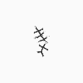 CC(C)C(C)(C)OC(F)(F)C(F)(F)C(C)(C)C